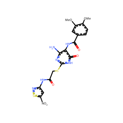 COc1ccc(C(=O)Nc2c(N)nc(SCC(=O)Nc3cc([N+](=O)[O-])sn3)[nH]c2=O)cc1OC